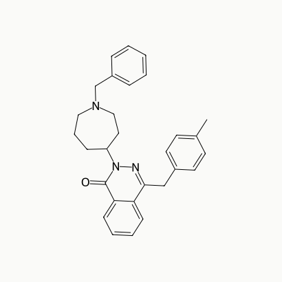 Cc1ccc(Cc2nn(C3CCCN(Cc4ccccc4)CC3)c(=O)c3ccccc23)cc1